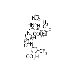 CCOC(=O)C1=C(CN2CC[C@]3(F)C(=O)N(c4ccc(C(=O)O)c(C(F)(F)F)c4)C[C@@H]3C2)NC(c2nccs2)=N[C@H]1c1cccc(F)c1C